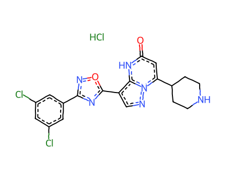 Cl.O=c1cc(C2CCNCC2)n2ncc(-c3nc(-c4cc(Cl)cc(Cl)c4)no3)c2[nH]1